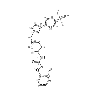 O=C(COc1ccccc1Cl)NC1CCN(Cc2ccn(-c3ccc(C(F)(F)F)cc3)c2)CC1